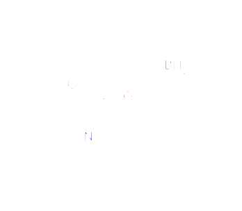 BC(C)(C)OC(=O)N1CC=CC1